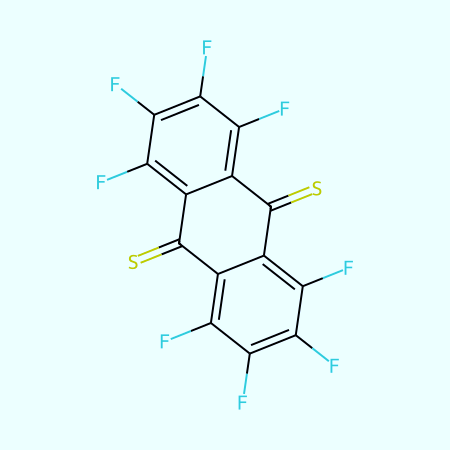 Fc1c(F)c(F)c2c(c1F)C(=S)c1c(F)c(F)c(F)c(F)c1C2=S